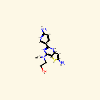 CCCN(CCO)c1nc(-c2ccc(N)nc2)nc2cc(N)sc12